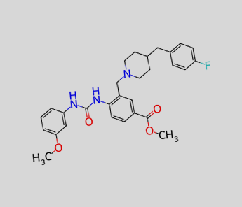 COC(=O)c1ccc(NC(=O)Nc2cccc(OC)c2)c(CN2CCC(Cc3ccc(F)cc3)CC2)c1